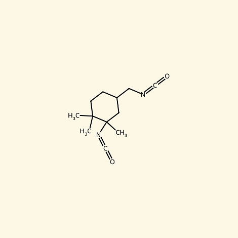 CC1(C)CCC(CN=C=O)CC1(C)N=C=O